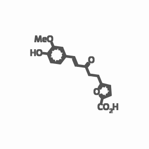 COc1cc(C=CC(=O)CCc2ccc(C(=O)O)o2)ccc1O